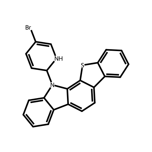 BrC1=CNC(n2c3ccccc3c3ccc4c5ccccc5sc4c32)C=C1